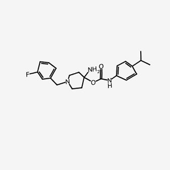 CC(C)c1ccc(NC(=O)OC2(N)CCN(Cc3cccc(F)c3)CC2)cc1